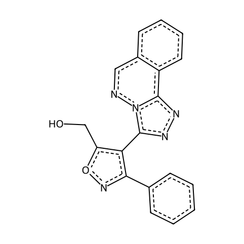 OCc1onc(-c2ccccc2)c1-c1nnc2c3ccccc3cnn12